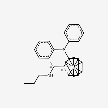 CCCN[C@H](C)[C@@]12[CH]3[CH]4[CH]5[C]1(P(c1ccccc1)c1ccccc1)[Fe]45321678[CH]2[CH]1[CH]6[CH]7[CH]28